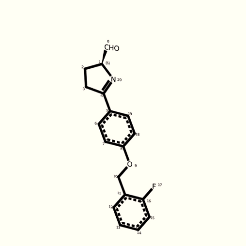 O=C[C@@H]1CCC(c2ccc(OCc3ccccc3F)cc2)=N1